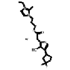 CC[n+]1ccn(CCCOC(=O)Cc2scc(C3CCC(F)(F)C3)c2O)c1C.[Br-]